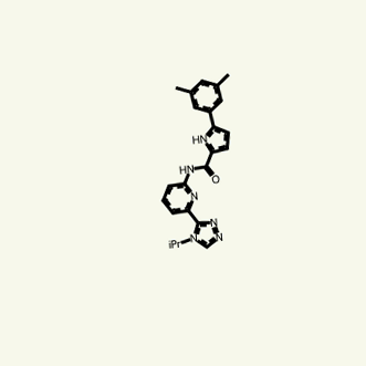 Cc1cc(C)cc(-c2ccc(C(=O)Nc3cccc(-c4nncn4C(C)C)n3)[nH]2)c1